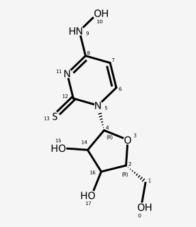 OC[C@H]1O[C@@H](n2ccc(NO)nc2=S)C(O)C1O